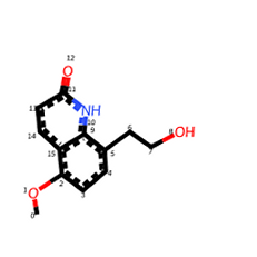 COc1ccc(CCO)c2[nH]c(=O)ccc12